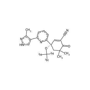 [2H]C([2H])([2H])O[C@]1(c2cccc(-c3c[nH]nc3C)n2)C=C(C#N)C(=O)C(C)(C)C1